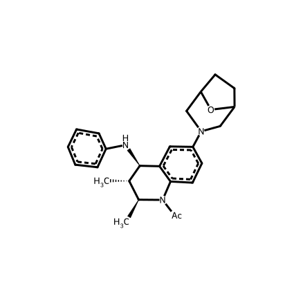 CC(=O)N1c2ccc(N3CC4CCC(C3)O4)cc2[C@H](Nc2ccccc2)[C@@H](C)[C@@H]1C